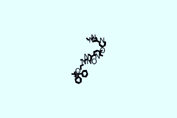 CCn1cc(-c2cc(Oc3ccc(-c4cnc(N(C)CCCO[Si](c5ccccc5)(c5ccccc5)C(C)(C)C)nc4OC)nc3C)ccn2)cn1